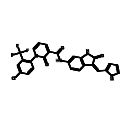 O=C1Nc2cc(NC(=O)c3cccn(-c4ccc(Cl)cc4C(F)(F)F)c3=O)ccc2C1=Cc1ccc[nH]1